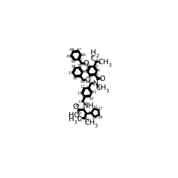 C=C(C)c1cc(C(=O)N(C)Cc2ccc(CN[C@@H](C(=O)O)C(C(C)C)C3CCCC3)cc2)c(OCc2ccccc2)cc1OCc1ccccc1